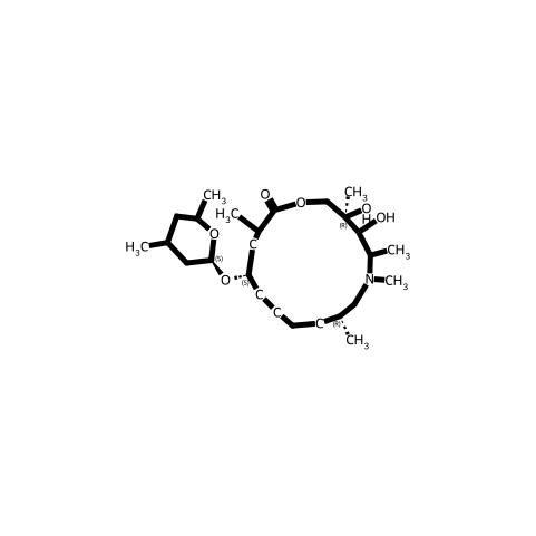 CC1CC(C)O[C@@H](O[C@H]2CCCC[C@@H](C)CN(C)C(C)C(O)[C@](C)(O)COC(=O)C(C)C2)C1